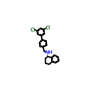 Clc1cc(Cl)cc(-c2ccc(CN[C@H]3CCCc4ccccc43)cc2)c1